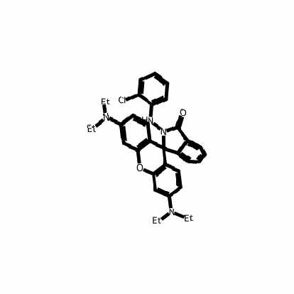 CCN(CC)c1ccc2c(c1)Oc1cc(N(CC)CC)ccc1C21c2ccccc2C(=O)N1Nc1ccccc1Cl